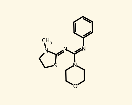 CN1CCSC1=NC(=Nc1ccccc1)N1CCOCC1